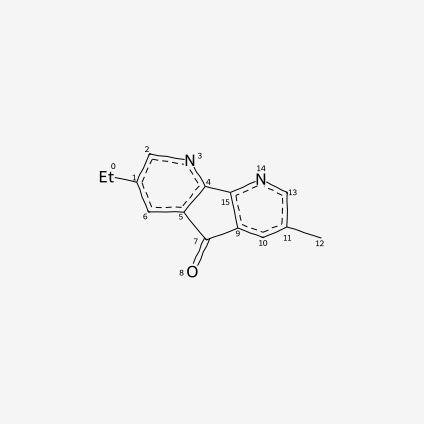 CCc1cnc2c(c1)C(=O)c1cc(C)cnc1-2